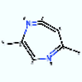 CC1=CN=C(C)C=C=N1